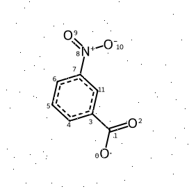 [O]C(=O)c1cccc([N+](=O)[O-])c1